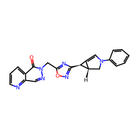 O=c1c2cccnc2cnn1Cc1nc([C@H]2C3=CN(c4ccccc4)C[C@@H]32)no1